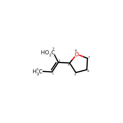 CC=C(C(=O)O)C1CCCO1